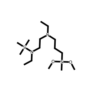 CCN(CCC[Si](C)(OC)OC)CCN(CC)[Si](C)(C)C